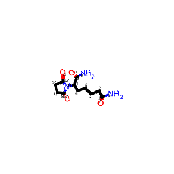 NC(=O)CCCCC(C(N)=O)N1C(=O)CCC1=O